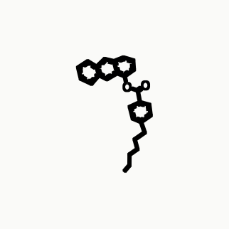 CCCCCCc1ccc(C(=O)Oc2cccc3cc4ccccc4cc23)cc1